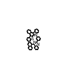 c1cc(-c2nc(-c3cccc4ccccc34)c3ccccc3n2)cc(-n2c3ccccc3c3c4ccccc4c4c5ccccc5sc4c32)c1